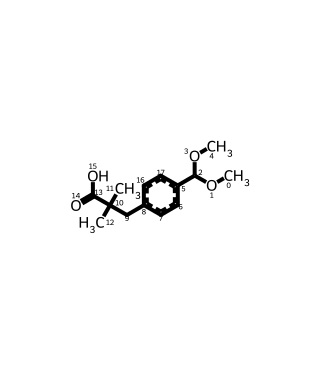 COC(OC)c1ccc(CC(C)(C)C(=O)O)cc1